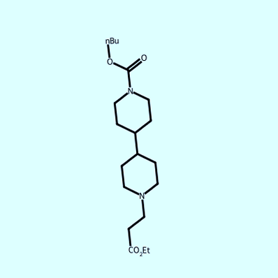 CCCCOC(=O)N1CCC(C2CCN(CCC(=O)OCC)CC2)CC1